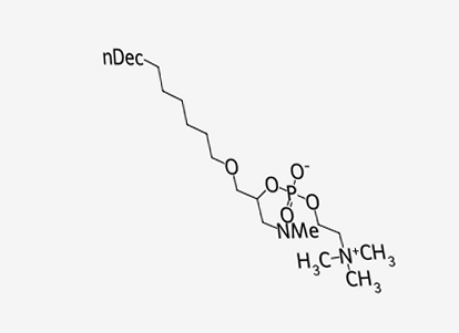 CCCCCCCCCCCCCCCCOCC(CNC)OP(=O)([O-])OCC[N+](C)(C)C